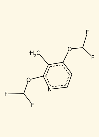 [CH2]c1c(OC(F)F)ccnc1OC(F)F